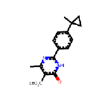 CCOC(=O)c1c(C)nc(-c2ccc(C3(C)CC3)cc2)[nH]c1=O